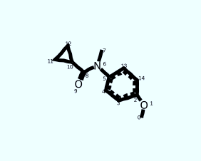 COc1ccc(N(C)C(=O)C2CC2)cc1